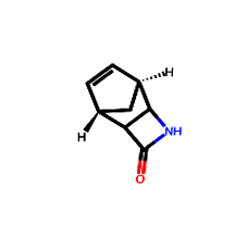 O=C1NC2C1[C@@H]1C=C[C@@H]2C1